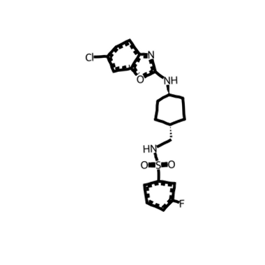 O=S(=O)(NC[C@H]1CC[C@H](Nc2nc3ccc(Cl)cc3o2)CC1)c1cccc(F)c1